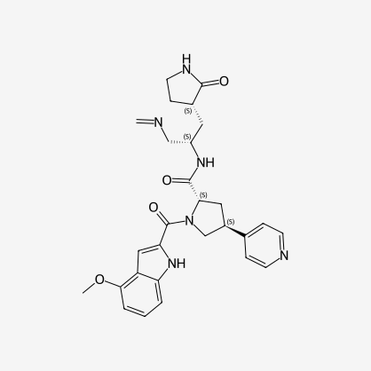 C=NC[C@H](C[C@@H]1CCNC1=O)NC(=O)[C@@H]1C[C@@H](c2ccncc2)CN1C(=O)c1cc2c(OC)cccc2[nH]1